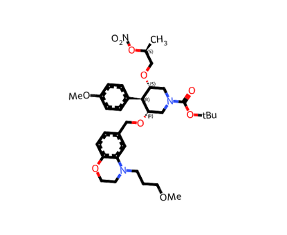 COCCCN1CCOc2ccc(CO[C@H]3CN(C(=O)OC(C)(C)C)C[C@@H](OC[C@H](C)O[N+](=O)[O-])[C@@H]3c3ccc(OC)cc3)cc21